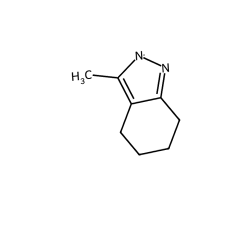 CC1=C2CCCCC2=N[N]1